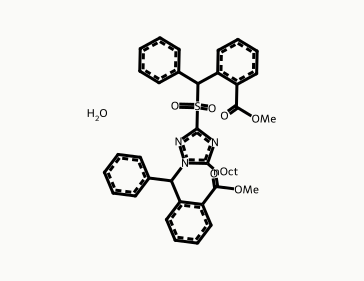 CCCCCCCCc1nc(S(=O)(=O)C(c2ccccc2)c2ccccc2C(=O)OC)nn1C(c1ccccc1)c1ccccc1C(=O)OC.O